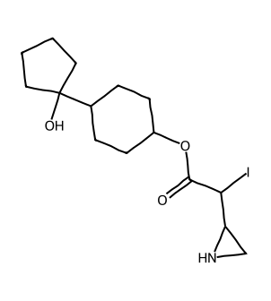 O=C(OC1CCC(C2(O)CCCC2)CC1)C(I)C1CN1